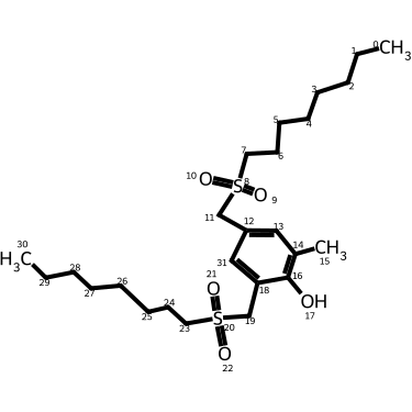 CCCCCCCCS(=O)(=O)Cc1cc(C)c(O)c(CS(=O)(=O)CCCCCCCC)c1